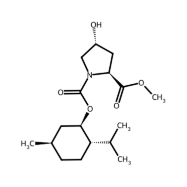 COC(=O)[C@@H]1C[C@@H](O)CN1C(=O)O[C@@H]1C[C@H](C)CC[C@H]1C(C)C